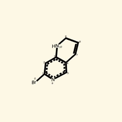 Brc1cc2c(cn1)C=CCN2